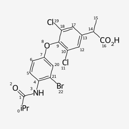 CC(C)C(=O)Nc1ccc(Oc2c(Cl)cc(C(C)C(=O)O)cc2Cl)cc1Br